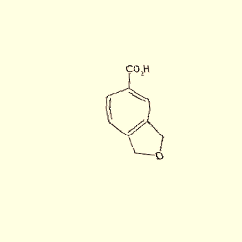 O=C(O)c1ccc2c(c1)COC2